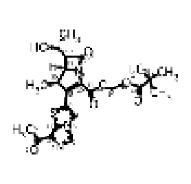 CC(=O)c1ncn2cc(C3=C(C(=O)OCOC(=O)C(C)(C)C)N4C(=O)[C@H]([C@@H](C)O)[C@H]4C3C)sc12